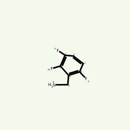 Fc1ccc(F)c(C[SiH3])c1F